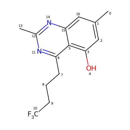 Cc1cc(O)c2c(CCCC(F)(F)F)nc(C)nc2c1